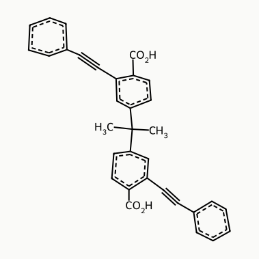 CC(C)(c1ccc(C(=O)O)c(C#Cc2ccccc2)c1)c1ccc(C(=O)O)c(C#Cc2ccccc2)c1